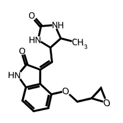 CC1NC(=O)NC1C=C1C(=O)Nc2cccc(OCC3CO3)c21